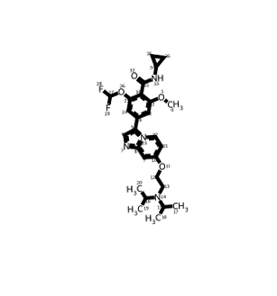 COc1cc(-c2cnc3cc(OCCN(C(C)C)C(C)C)ccn23)cc(OC(F)F)c1C(=O)NC1CC1